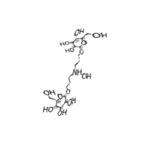 Cl.OC[C@H]1O[C@H](OCCCNCCCO[C@H]2O[C@H](CO)[C@@H](O)[C@H](O)[C@@H]2O)[C@@H](O)[C@@H](O)[C@@H]1O